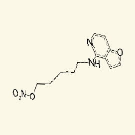 O=[N+]([O-])OCCCCCNc1nccc2occc12